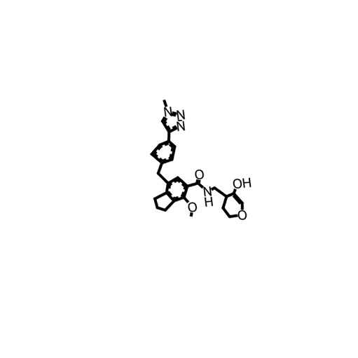 COc1c(C(=O)NCC2CCOC=C2O)cc(Cc2ccc(-c3cn(C)nn3)cc2)c2c1CCC2